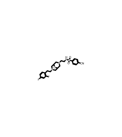 N#Cc1ccc(S(=O)(=O)NCCN2CC3CN(CCc4ccc(F)cc4F)CC(C2)O3)cc1